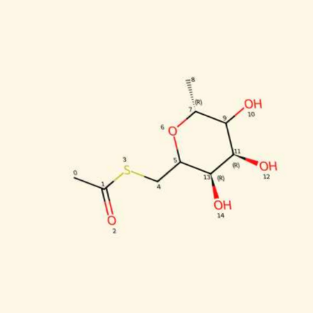 CC(=O)SCC1O[C@H](C)C(O)[C@@H](O)[C@H]1O